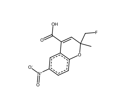 CC1(CF)C=C(C(=O)O)c2cc([N+](=O)[O-])ccc2O1